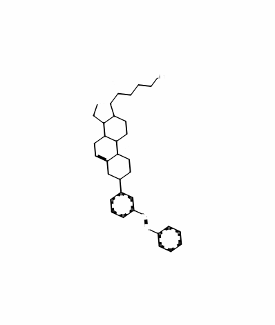 CC(C)CCC[C@@H](C)[C@H]1CCC2C3CC=C4CC(c5[c]ccc(N=Nc6ccccc6)c5)CC[C@]4(C)C3CC[C@@]21C